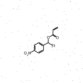 C=CC(=O)OC(CC)c1ccc([N+](=O)[O-])cc1